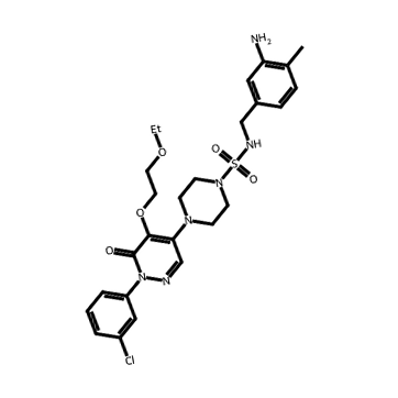 CCOCCOc1c(N2CCN(S(=O)(=O)NCc3ccc(C)c(N)c3)CC2)cnn(-c2cccc(Cl)c2)c1=O